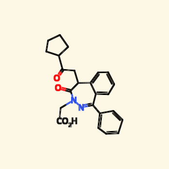 O=C(O)CN1N=C(c2ccccc2)c2ccccc2C(CC(=O)C2CCCC2)C1=O